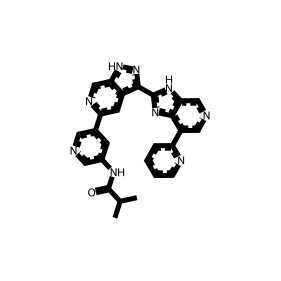 CC(C)C(=O)Nc1cncc(-c2cc3c(-c4nc5c(-c6ccccn6)cncc5[nH]4)n[nH]c3cn2)c1